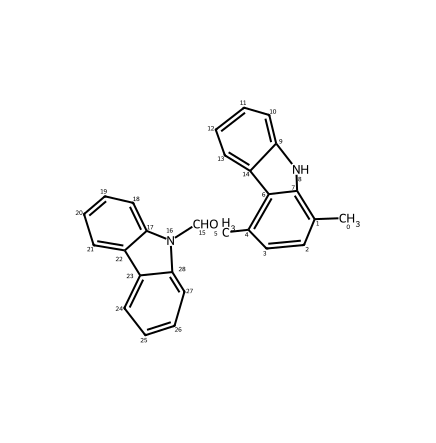 Cc1ccc(C)c2c1[nH]c1ccccc12.O=Cn1c2ccccc2c2ccccc21